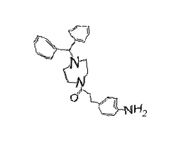 Nc1ccc(CCC(=O)N2CCN(C(c3ccccc3)c3ccccc3)CC2)cc1